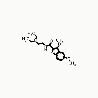 CCN(CC)CCNC(=O)c1sc2ccc(OC)cc2c1OC